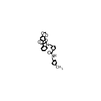 Cc1ccc(CNC(=O)c2cccc(CN3C(=O)C4(COc5cc6c(cc54)OCO6)c4ccccc43)c2)cc1